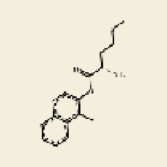 CSCC[C@H](N)C(=O)Oc1ccc2ccccc2c1C